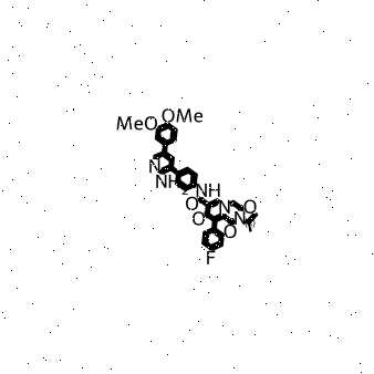 COc1ccc(-c2cnc(N)c(-c3ccc(NC(=O)c4cn5c(c(-c6ccc(F)cc6)c4=O)C(=O)N4C(C5)OC[C@H]4C)cc3)c2)cc1OC